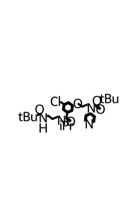 CC(C)N(CCCNC(=O)C(C)(C)C)C(=O)c1cc(Cl)cc(OCCN(C(=O)OC(C)(C)C)c2ccncc2)c1